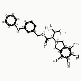 CC(C)C(C(=O)OCc1cccc(Oc2ccccc2)c1)N1Cc2c(F)c(Cl)c(Cl)c(F)c2C1